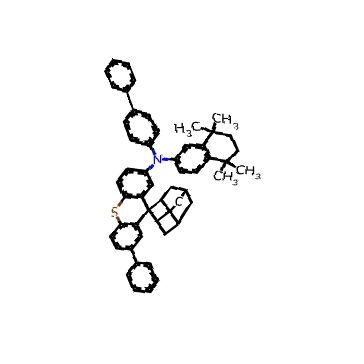 CC1(C)CCC(C)(C)c2cc(N(c3ccc(-c4ccccc4)cc3)c3ccc4c(c3)C3(c5cc(-c6ccccc6)ccc5S4)C4CC5CC6CC3C64C5)ccc21